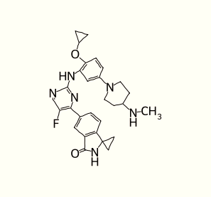 CNC1CCN(c2ccc(OC3CC3)c(Nc3ncc(F)c(-c4ccc5c(c4)C(=O)NC54CC4)n3)c2)CC1